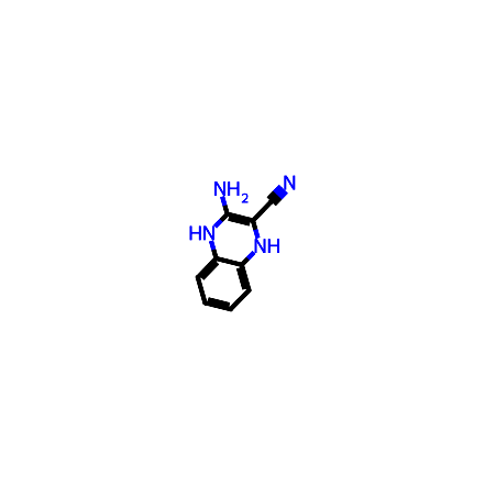 N#CC1=C(N)Nc2ccccc2N1